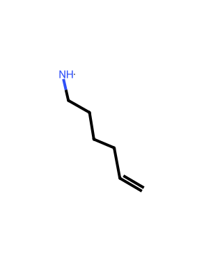 C=CCCCC[NH]